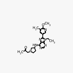 CCn1c(-c2cnc(OC)c(C)c2)nc2c(NC3CCN(CC(C)=O)C3)ncnc21